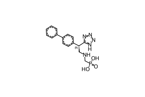 O=P(O)(O)CNC[C@@H](c1ccc(-c2ccccc2)cc1)c1nnn[nH]1